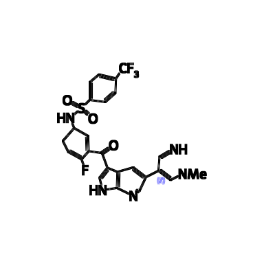 CN/C=C(\C=N)c1cnc2[nH]cc(C(=O)C3=CC(NS(=O)(=O)c4ccc(C(F)(F)F)cc4)CC=C3F)c2c1